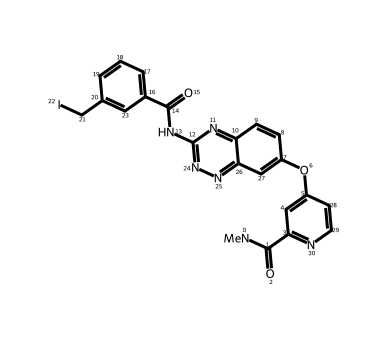 CNC(=O)c1cc(Oc2ccc3nc(NC(=O)c4cccc(CI)c4)nnc3c2)ccn1